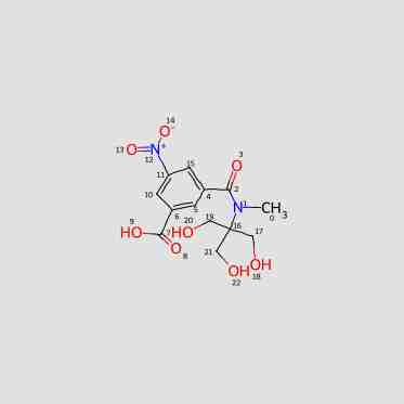 CN(C(=O)c1cc(C(=O)O)cc([N+](=O)[O-])c1)C(CO)(CO)CO